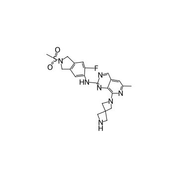 Cc1cc2cnc(Nc3cc4c(cc3F)CN(S(C)(=O)=O)C4)nc2c(N2CC3(CNC3)C2)n1